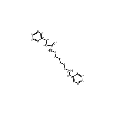 O=C(NCCCCCCNCc1ccccc1)OCc1ccccc1